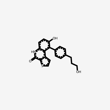 O=c1[nH]c2ccc(O)c(-c3ccc(CCCO)cc3)c2c2ccsc12